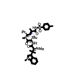 CN[C@H](C(=O)N[C@H](C(=O)N(C)[C@H](/C=C(\C)C(=O)NS(=O)(=O)c1ccc(C)cc1)C(C)C)C(C)(C)C)C(C)(C)c1cn(C)c2ccccc12